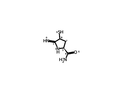 N=C1N[C@H](C(N)=O)CC1S